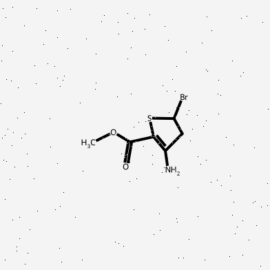 COC(=O)C1=C(N)CC(Br)S1